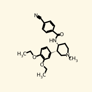 CCOc1ccc([C@H]2CN(C)CC[C@H]2NC(=O)c2ccc(C#N)cc2)cc1OCC